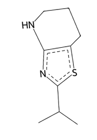 CC(C)c1nc2c(s1)CCCN2